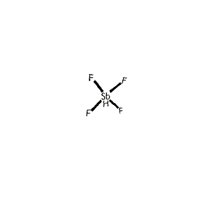 [F][SbH]([F])([F])[F]